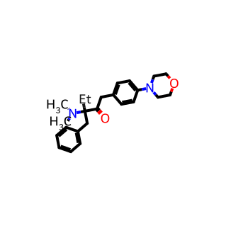 CCC(Cc1ccccc1)(C(=O)Cc1ccc(N2CCOCC2)cc1)N(C)C